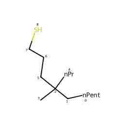 CCCCCCC(C)(CCC)CCCS